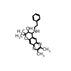 Cc1nc2cc3c(cc2nc1C)C(NCCc1ccccc1)C(O)C(C)(C)O3